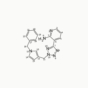 Nc1ncccc1-c1nnn(Cc2ccn(Cc3ccccc3)c2)n1